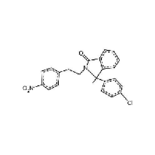 CC1(c2ccc(Cl)cc2)c2ccccc2C(=O)N1CCc1ccc([N+](=O)[O-])cc1